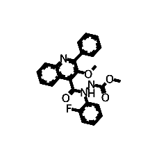 COC(=O)NN(C(=O)c1c(OC)c(-c2ccccc2)nc2ccccc12)c1ccccc1F